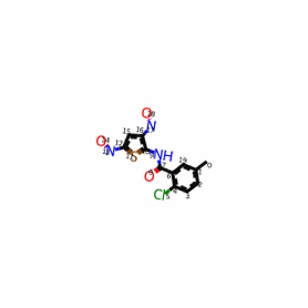 Cc1ccc(Cl)c(C(=O)Nc2sc(N=O)cc2N=O)c1